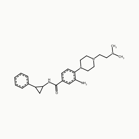 CN(C)CCN1CCN(c2ccc(C(=O)NC3CC3c3ccccc3)cc2N)CC1